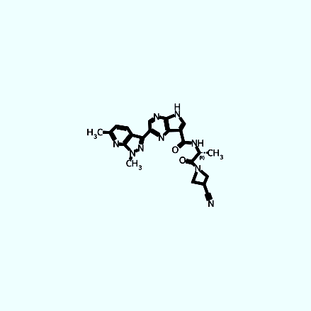 Cc1ccc2c(-c3cnc4[nH]cc(C(=O)N[C@H](C)C(=O)N5CC(C#N)C5)c4n3)nn(C)c2n1